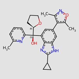 Cc1cccc([C@@](O)(c2cc(-c3c(C)noc3C)cc3[nH]c(C4CC4)nc23)[C@H]2CCCO2)n1